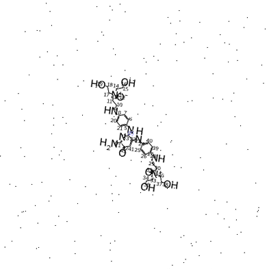 NC1=N/C(=N\c2ccc(NCC[N+]([O-])(CCO)CCO)cc2)C(Nc2ccc(NCC[N+]([O-])(CCO)CCO)cc2)=CC1=O